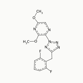 COc1cnc(-n2nnc(Cc3c(F)cccc3F)n2)c(OC)n1